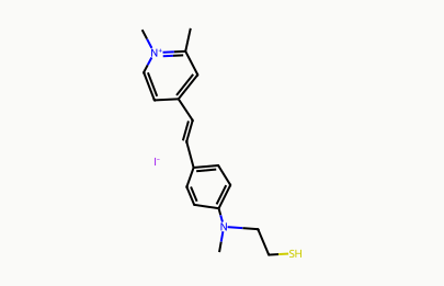 Cc1cc(/C=C/c2ccc(N(C)CCS)cc2)cc[n+]1C.[I-]